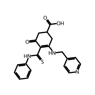 O=C1CC(C(=O)O)CC(NCc2ccncc2)=C1C(=S)Nc1ccccc1